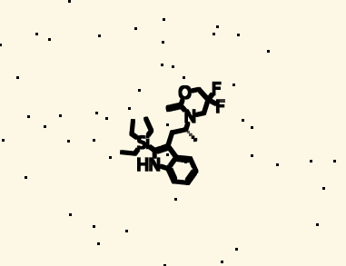 C=C1OCC(F)(F)CN1[C@H](C)Cc1c([Si](CC)(CC)CC)[nH]c2ccccc12